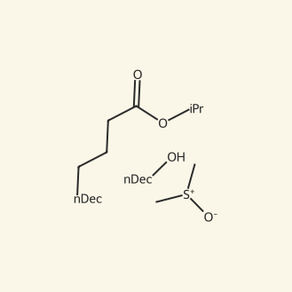 CCCCCCCCCCCCCC(=O)OC(C)C.CCCCCCCCCCO.C[S+](C)[O-]